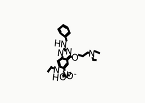 CCNc1cc2nc(NCc3ccccc3)nc(OCCCN(CC)CC)c2cc1[N+](=O)[O-]